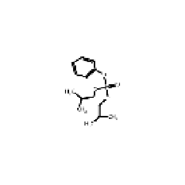 CC(C)COP(=O)(OCC(C)C)Oc1ccccc1